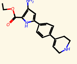 CCOC(=O)c1[nH]c(-c2ccc(C3=CCNCC3)cc2)cc1N